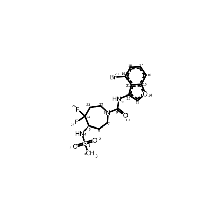 CS(=O)(=O)N[C@@H]1CCN(C(=O)Nc2coc3cccc(Br)c23)CCC1(F)F